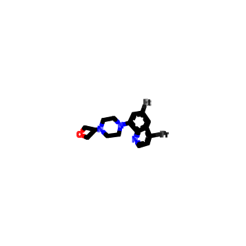 CCc1cc(N2CCN(C3COC3)CC2)c2nccc(C(C)C)c2c1